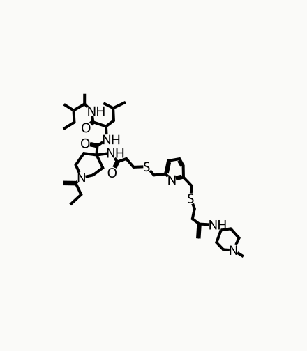 C=C(CCSCc1cccc(CSCCC(=O)NC2(C(=O)NC(CC(C)C)C(=O)NC(C)C(C)CC)CCN(C(=C)CC)CC2)n1)NC1CCN(C)CC1